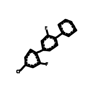 Fc1cc(Cl)ccc1-c1ccc(-c2ccccc2)c(F)c1